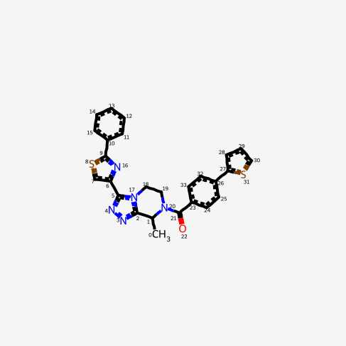 CC1c2nnc(-c3csc(-c4ccccc4)n3)n2CCN1C(=O)c1ccc(-c2cccs2)cc1